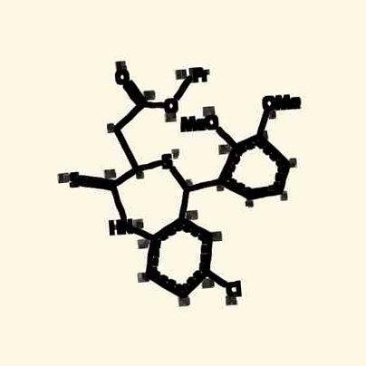 COc1cccc(C2SC(CC(=O)OC(C)C)C(=S)Nc3ccc(Cl)cc32)c1OC